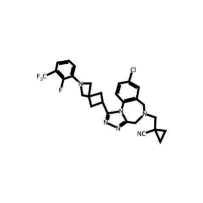 N#CC1(CN2Cc3cc(Cl)ccc3-n3c(nnc3C3CC4(C3)CN(c3cccc(C(F)(F)F)c3F)C4)C2)CC1